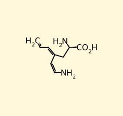 C=C/C=C(\C=C/N)C[C@@H](N)C(=O)O